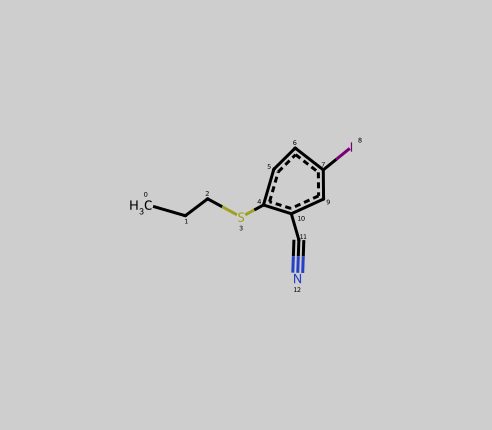 CCCSc1ccc(I)cc1C#N